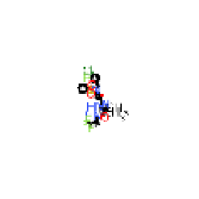 CC1(C)N=C(C23CC(N(Cc4ccc(Cl)c(F)c4)S(=O)(=O)c4ccccc4)(C2)C3)N[C@H]1C(=O)NC1C[C@@H]1C(F)(F)F